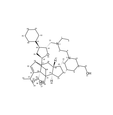 CCN(CCN1CCCC(CO)C1)C[C@@H]1O[C@@H](C23C[C@@H]4[C@H](C)CC[C@H]4C4(C=O)CC2C=C(C(C)C)[C@]43C(=O)O)C[C@H]1C1CCCCC1